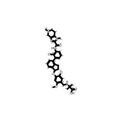 COc1cc(OC2CCc3c(-c4cccc(NC(=O)c5nc6c(n5C)CCN(C)C6)c4Cl)cccc32)c(Cl)cc1CNC(C)(C)C(=O)O